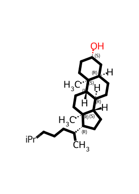 CC(C)CCCC(C)[C@H]1CC[C@H]2[C@@H]3CC[C@@H]4C[C@@H](O)CC[C@]4(C)[C@H]3CC[C@]12C